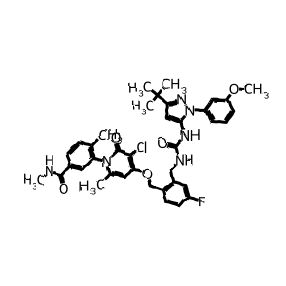 CNC(=O)c1ccc(C)c(-n2c(C)cc(OCc3ccc(F)cc3CNC(=O)Nc3cc(C(C)(C)C)nn3-c3cccc(OC)c3)c(Cl)c2=O)c1